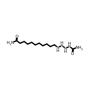 NC(=O)CCCCCCCCCCNNNNC(N)=O